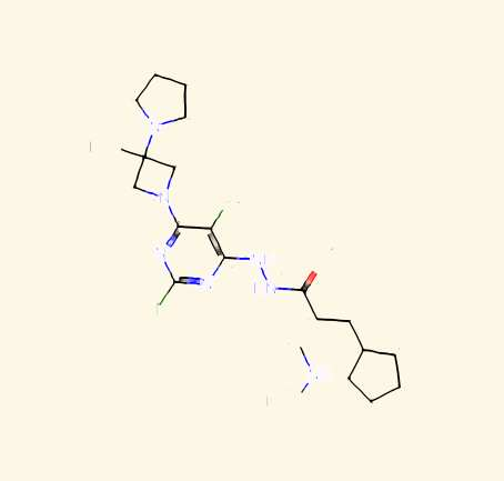 CC1(N2CCCC2)CN(c2nc(Cl)nc(NNC(=O)[C@@H](CNC(=O)O)CC3CCCC3)c2F)C1